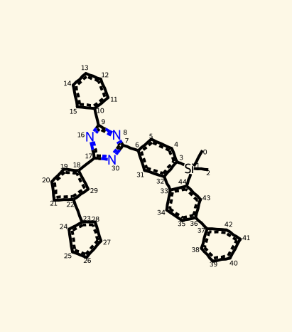 C[Si]1(C)c2ccc(-c3nc(-c4ccccc4)nc(-c4cccc(-c5ccccc5)c4)n3)cc2-c2ccc(-c3ccccc3)cc21